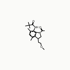 COCCC1CN(C(C)=O)c2c(NC(=O)C(C)(C)C)c(C)cc(C)c21